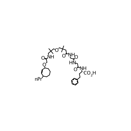 CCCC1/C=C\C(OCC(=O)NCC(C)(C)COCC(C)(C)CC(=O)NCC(=O)NCC(=O)N[C@@H](CCc2ccccc2)C(=O)O)CCCC1